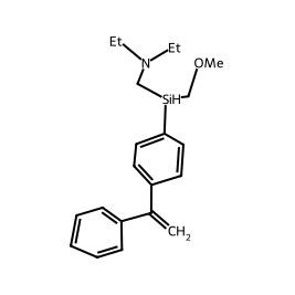 C=C(c1ccccc1)c1ccc([SiH](COC)CN(CC)CC)cc1